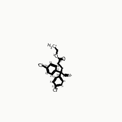 CCOC(=O)CCC(C#N)(c1ccc(Cl)cc1)c1ccc(Cl)cc1